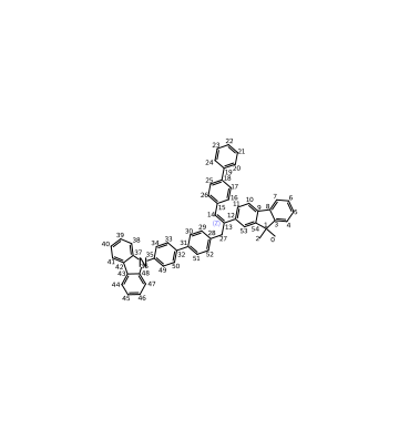 CC1(C)c2ccccc2-c2ccc(/C(=C\c3ccc(-c4ccccc4)cc3)Cc3ccc(-c4ccc(-n5c6ccccc6c6ccccc65)cc4)cc3)cc21